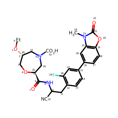 CCO[C@H]1CO[C@H](C(=O)NC(C#N)Cc2ccc(-c3ccc4oc(=O)n(C)c4c3)cc2F)CN(C(=O)O)C1